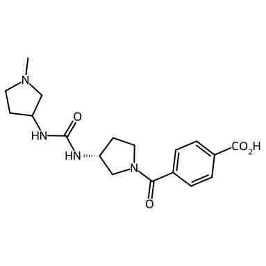 CN1CCC(NC(=O)N[C@@H]2CCN(C(=O)c3ccc(C(=O)O)cc3)C2)C1